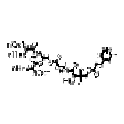 CCCCCCCCC(CCCCCC)C(=O)OCC(COC(=O)CCNC(=O)[C@H](O)C(C)(C)COC(=O)CCc1ccncc1)OC(=O)C(CCCCCC)CCCCCCCC